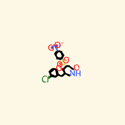 O=C1CC(S(=O)(=O)c2ccc([N+](=O)[O-])cc2)C(=O)C(Cc2cccc(Cl)c2)CN1